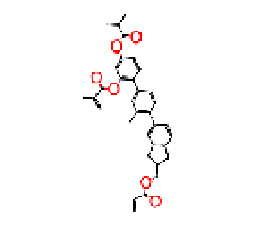 C=CC(=O)OCC1Cc2ccc(-c3ccc(-c4ccc(OC(=O)C(=C)C)cc4OC(=O)C(=C)C)cc3C)cc2C1